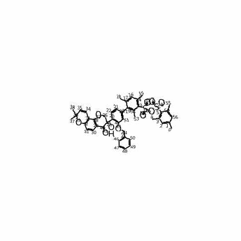 Cc1cc(C)c(S(=O)(=O)OS(=O)(=O)c2c(C)cc(C)c(-c3ccc(C4(O)COc5c(ccc6c5C=CC(C)(C)O6)C4=O)c(OCc4ccccc4)c3)c2C)c(C)c1